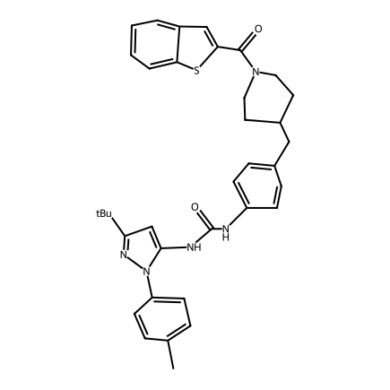 Cc1ccc(-n2nc(C(C)(C)C)cc2NC(=O)Nc2ccc(CC3CCN(C(=O)c4cc5ccccc5s4)CC3)cc2)cc1